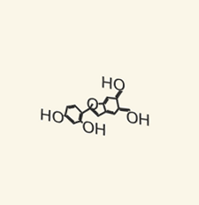 OC=c1cc2cc(-c3ccc(O)cc3O)oc2cc1=CO